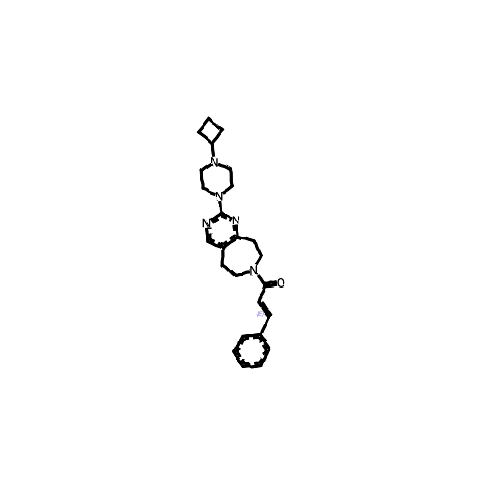 O=C(/C=C/c1ccccc1)N1CCc2cnc(N3CCN(C4CCC4)CC3)nc2CC1